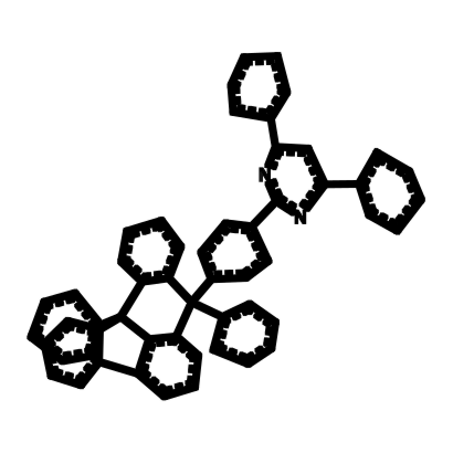 c1ccc(-c2cc(-c3ccccc3)nc(-c3ccc(C4(c5ccccc5)c5ccccc5C5(c6ccccc6)c6ccccc6-c6cccc4c65)cc3)n2)cc1